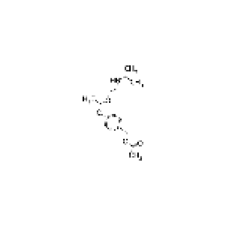 CC(=O)OCc1ccc(OC(C)OCCNC(C)C)cc1